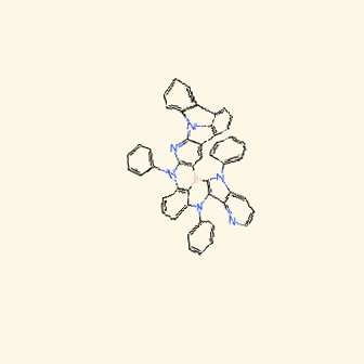 c1ccc(N2c3cccc4c3B(c3cc5c6cccc7c8ccccc8n(c5nc32)c76)c2c(c3ncccc3n2-c2ccccc2)N4c2ccccc2)cc1